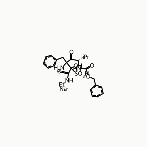 CCNC(=O)C(O)(C(N)(Cc1ccccc1)C(=O)[C@@H](NC(=O)OCc1ccccc1)C(C)C)S(=O)(=O)O.[Na]